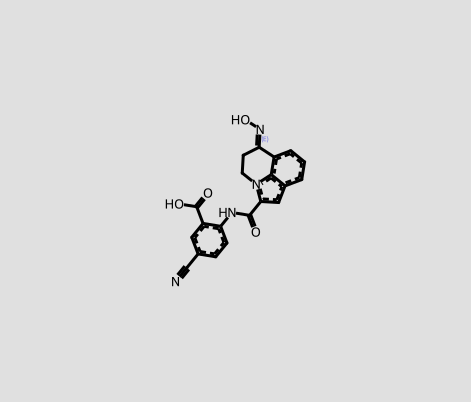 N#Cc1ccc(NC(=O)c2cc3cccc4c3n2CC/C4=N\O)c(C(=O)O)c1